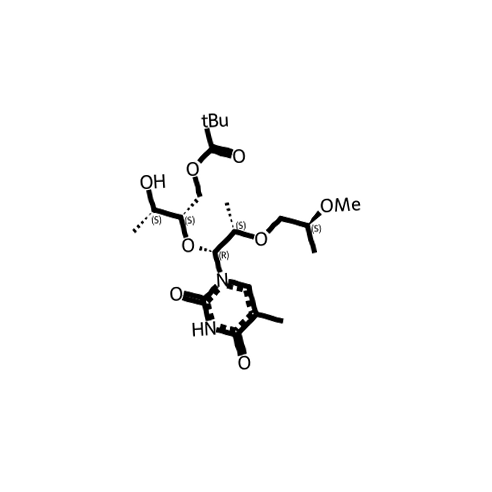 CO[C@@H](C)CO[C@@H](C)[C@@H](O[C@@H](COC(=O)C(C)(C)C)[C@H](C)O)n1cc(C)c(=O)[nH]c1=O